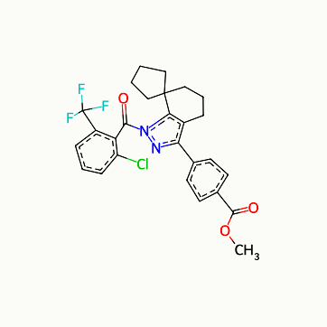 COC(=O)c1ccc(-c2nn(C(=O)c3c(Cl)cccc3C(F)(F)F)c3c2CCCC32CCCC2)cc1